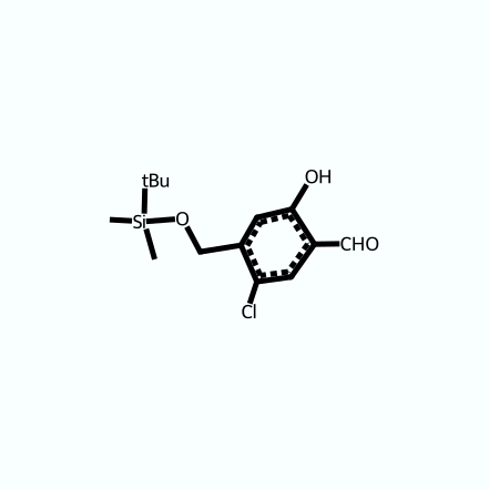 CC(C)(C)[Si](C)(C)OCc1cc(O)c(C=O)cc1Cl